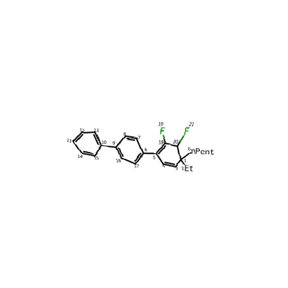 CCCCCC1(CC)C=CC(c2ccc(-c3ccccc3)cc2)=C(F)C1F